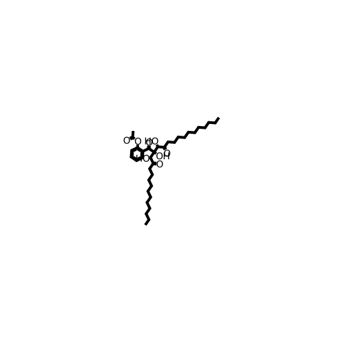 CCCCCCCCCCCC(=O)C(O)C(O)(C(=O)c1ccccc1OC(C)=O)C(O)C(=O)CCCCCCCCCCC